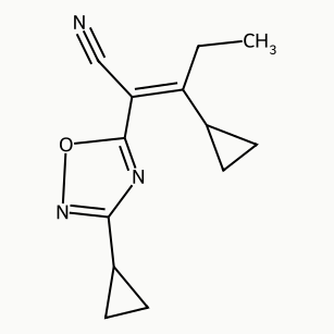 CCC(=C(C#N)c1nc(C2CC2)no1)C1CC1